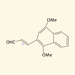 COc1cc(/C=C/C=O)c(OC)c2ccccc12